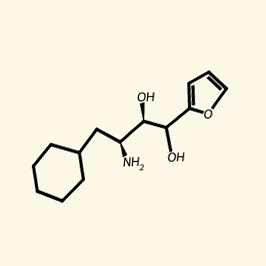 N[C@@H](CC1CCCCC1)[C@@H](O)C(O)c1ccco1